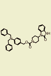 O=C(OCc1ccc(N(Cc2ccccc2)Cc2ccccc2)cc1)N1CCC(n2c(=O)[nH]c3ccccc32)CC1